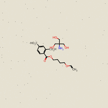 C=COCCCCOC(=O)c1ccc(C(=O)O)cc1C(=O)O.NC(CO)(CO)CO